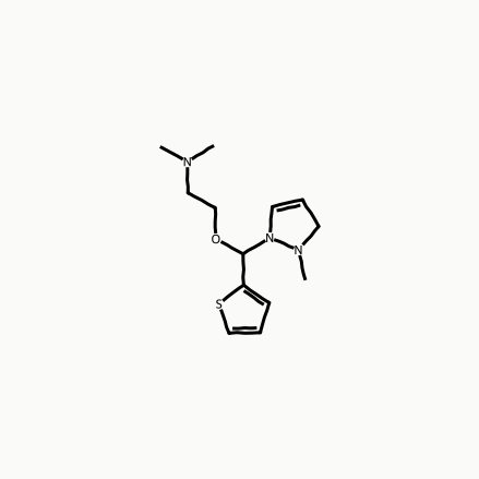 CN(C)CCOC(c1cccs1)N1C=CCN1C